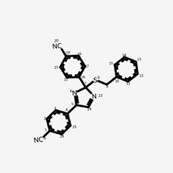 N#Cc1ccc(C2=NC(SCc3ccccc3)(c3ccc(C#N)cc3)N=C2)cc1